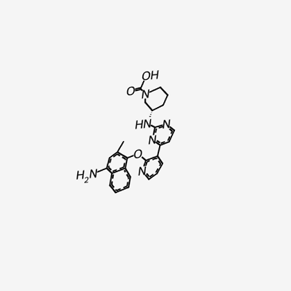 Cc1cc(N)c2ccccc2c1Oc1ncccc1-c1ccnc(N[C@H]2CCCN(C(=O)O)C2)n1